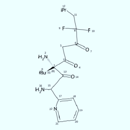 CC[C@H](C)[C@@](N)(C(=O)CC(=O)C(F)(F)CC(C)C)C(=O)C(N)c1ccccn1